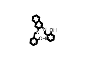 Oc1ccccc1C=Nc1cc2ccccc2cc1N=Cc1ccccc1O